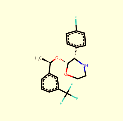 C[C@@H](O[C@H]1OCCN[C@H]1c1ccc(F)cc1)c1cccc(C(F)(F)F)c1